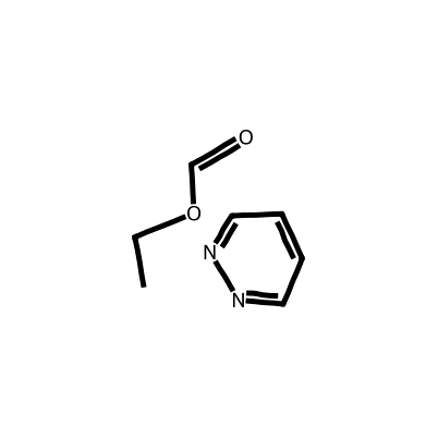 CCOC=O.c1ccnnc1